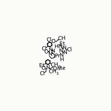 C#CCOc1cc(-n2nc3n(c2=O)CCCC3)c(Cl)cc1Cl.CCNc1nc(Cl)nc(NC(C)C)n1.CCc1cccc(C)c1N(C(=O)CCl)C(C)COC